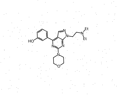 CCN(CC)CCn1ncc2c(-c3cccc(O)c3)nc(N3CCOCC3)nc21